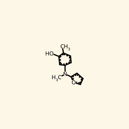 Cc1ccc(N(C)c2ccco2)cc1O